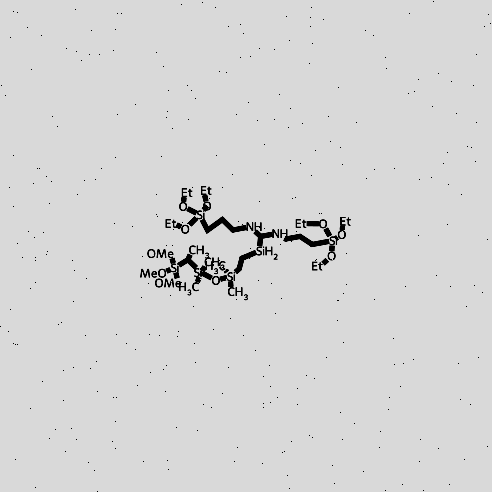 CCO[Si](CCCNC(NCCC[Si](OCC)(OCC)OCC)[SiH2]CC[Si](C)(C)O[Si](C)(C)C(C)[Si](OC)(OC)OC)(OCC)OCC